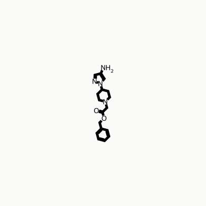 Nc1cnn(C2CCN(CC(=O)OCc3ccccc3)CC2)c1